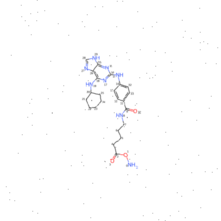 NOC(=O)CCCCNC(=O)c1ccc(Nc2nc(NC3CCCCC3)c3nc[nH]c3n2)cc1